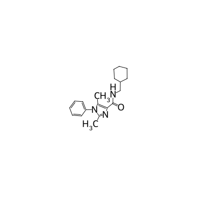 Cc1nc(C(=O)NCC2CCCCC2)c(C)n1-c1ccccc1